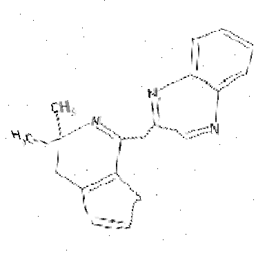 CC1(C)Cc2ccsc2C(c2cnc3ccccc3n2)=N1